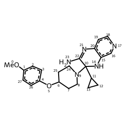 COc1ccc(OC2CCN(C3(C4CC4)Nc4cnccc4N=C3N)CC2)cc1